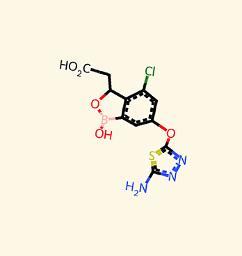 Nc1nnc(Oc2cc(Cl)c3c(c2)B(O)OC3CC(=O)O)s1